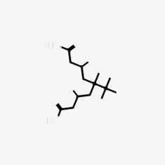 CC(C)(C)C(C)(CC(S)CC(=O)O)CC(S)CC(=O)O